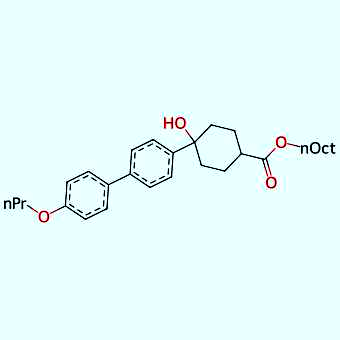 CCCCCCCCOC(=O)C1CCC(O)(c2ccc(-c3ccc(OCCC)cc3)cc2)CC1